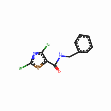 O=C(NCc1ccccc1)c1sc(Br)nc1Br